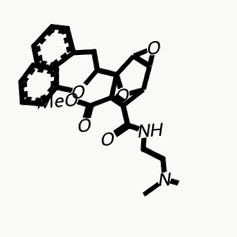 COC(=O)C1=C(C(=O)NCCN(C)C)C2OC1(C(Cc1ccccc1)Oc1ccccc1)C1OC21